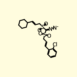 [N-]=[N+]=C(S(=O)(=O)CC=Cc1ccccc1Cl)S(=O)(=O)CC=CC1CCCCC1